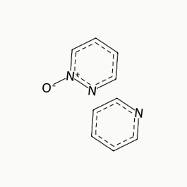 [O-][n+]1ccccn1.c1ccncc1